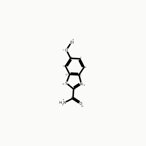 CCOc1ccc2nc(C(N)=O)sc2c1